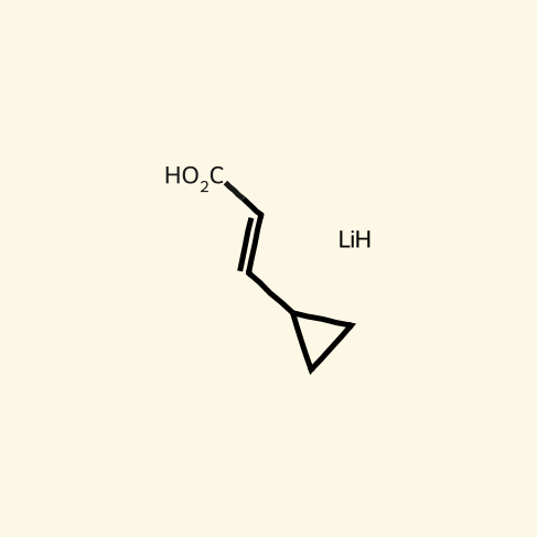 O=C(O)/C=C/C1CC1.[LiH]